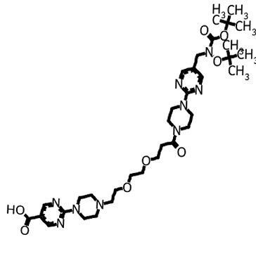 CC(C)(C)OC(=O)N(Cc1cnc(N2CCN(C(=O)CCOCCOCCN3CCN(c4ncc(C(=O)O)cn4)CC3)CC2)nc1)OC(C)(C)C